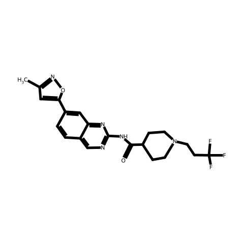 Cc1cc(-c2ccc3cnc(NC(=O)C4CCN(CCC(F)(F)F)CC4)nc3c2)on1